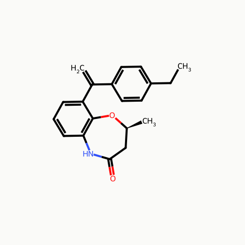 C=C(c1ccc(CC)cc1)c1cccc2c1O[C@@H](C)CC(=O)N2